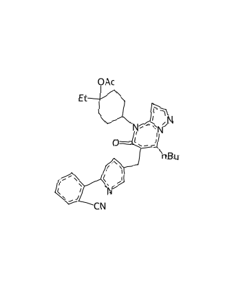 CCCCc1c(Cc2ccc(-c3ccccc3C#N)nc2)c(=O)n(C2CCC(CC)(OC(C)=O)CC2)c2ccnn12